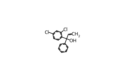 C=CC(O)(c1ccccc1)c1ccc(Cl)cc1Cl